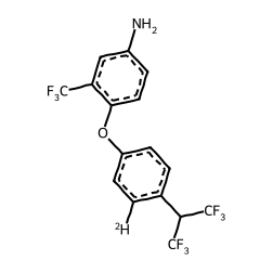 [2H]c1cc(Oc2ccc(N)cc2C(F)(F)F)ccc1C(C(F)(F)F)C(F)(F)F